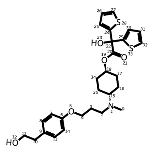 CN(CCCOc1ccc(CCO)cc1)[C@H]1CC[C@H](OC(=O)C(O)(c2cccs2)c2cccs2)CC1